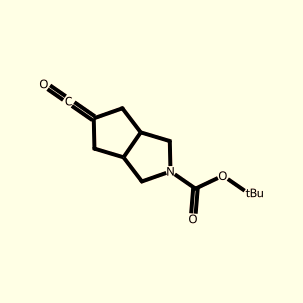 CC(C)(C)OC(=O)N1CC2CC(=C=O)CC2C1